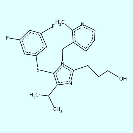 Cc1ncccc1Cn1c(CCCO)nc(C(C)C)c1Sc1cc(F)cc(F)c1